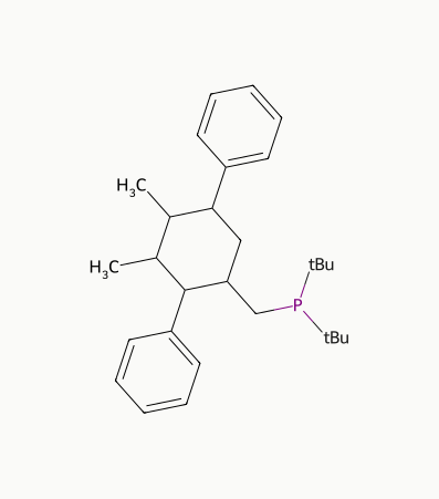 CC1C(c2ccccc2)CC(CP(C(C)(C)C)C(C)(C)C)C(c2ccccc2)C1C